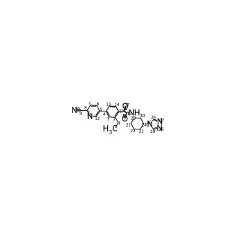 CCc1cc(-c2ccc(C#N)nc2)ccc1S(=O)(=O)N[C@H]1CCC[C@@H](n2cnnc2)C1